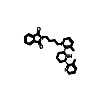 CC1=C([C@H]2CCC[C@@H](c3ncccc3C)N2)N(CCCCN2C(=O)c3ccccc3C2=O)CC=C1